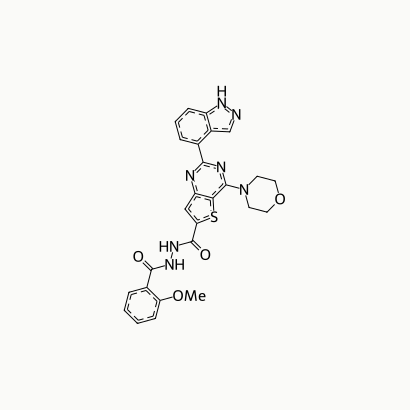 COc1ccccc1C(=O)NNC(=O)c1cc2nc(-c3cccc4[nH]ncc34)nc(N3CCOCC3)c2s1